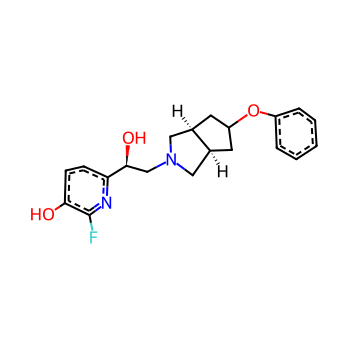 Oc1ccc([C@@H](O)CN2C[C@H]3CC(Oc4ccccc4)C[C@H]3C2)nc1F